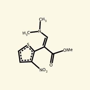 COC(=O)/C(=C/N(C)C)c1sccc1[N+](=O)[O-]